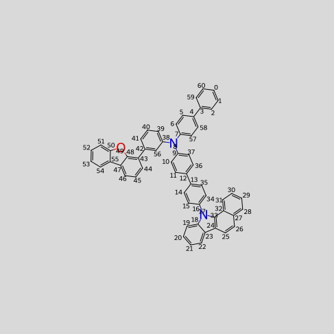 c1ccc(-c2ccc(N(c3ccc(-c4ccc(-n5c6ccccc6c6ccc7ccccc7c65)cc4)cc3)c3cccc(-c4cccc5c4oc4ccccc45)c3)cc2)cc1